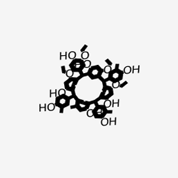 CCOc1cc(C2c3cc(c(OCC)cc3O)C(c3ccc(O)c(C)c3)c3cc(c(O)cc3OCC)C(c3ccc(O)c(C)c3)c3cc(c(C)cc3O)C(c3ccc(O)c(C)c3)c3cc2c(OCC)cc3O)ccc1O